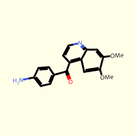 COc1cc2nccc(C(=O)c3ccc(N)cc3)c2cc1OC